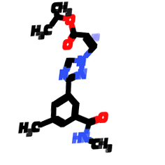 CNC(=O)c1cc(C)cc(-c2ncn(/C=C\C(=O)OC(C)C)n2)c1